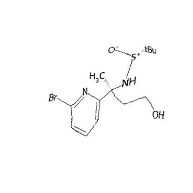 CC(C)(C)[S@@+]([O-])N[C@@](C)(CCO)c1cccc(Br)n1